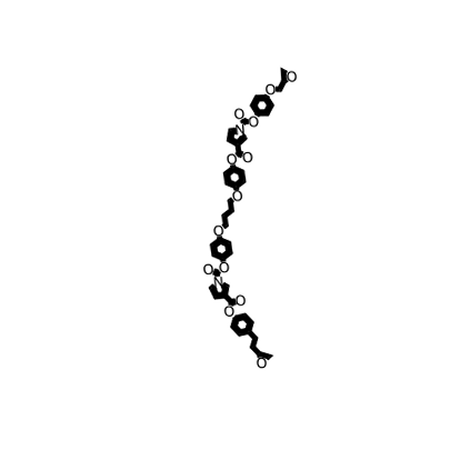 O=C(Oc1ccc(CCC2CO2)cc1)c1ccn(C(=O)Oc2ccc(OCCCCOc3ccc(OC(=O)c4ccn(C(=O)Oc5ccc(OCC6CO6)cc5)c4)cc3)cc2)c1